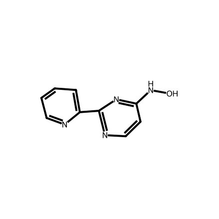 ONc1ccnc(-c2ccccn2)n1